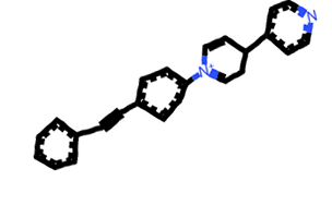 C(#Cc1ccc([N+]2=CCC(c3ccncc3)C=C2)cc1)c1ccccc1